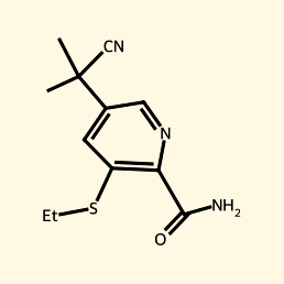 CCSc1cc(C(C)(C)C#N)cnc1C(N)=O